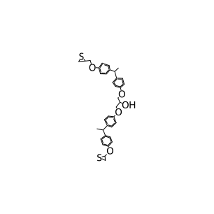 CC(c1ccc(OCC(O)COc2ccc(C(C)c3ccc(OC4CS4)cc3)cc2)cc1)c1ccc(OCC2CS2)cc1